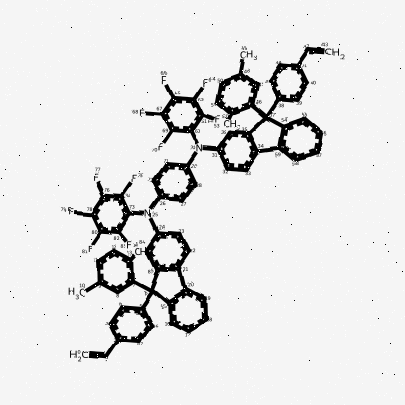 C=Cc1ccc(C2(c3cc(C)ccc3C)c3ccccc3-c3ccc(N(c4ccc(N(c5ccc6c(c5)C(c5ccc(C=C)cc5)(c5cc(C)ccc5C)c5ccccc5-6)c5c(F)c(F)c(F)c(F)c5F)cc4)c4c(F)c(F)c(F)c(F)c4F)cc32)cc1